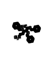 O=CC(OCc1ccccc1)C(OCc1ccccc1)C(CC[N+](=O)[O-])OCc1ccccc1